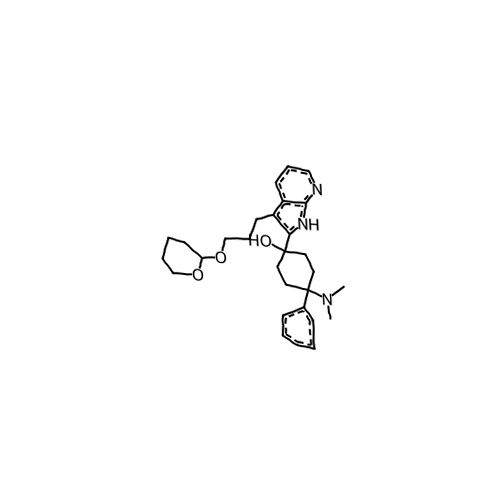 CN(C)C1(c2ccccc2)CCC(O)(c2[nH]c3ncccc3c2CCCOC2CCCCO2)CC1